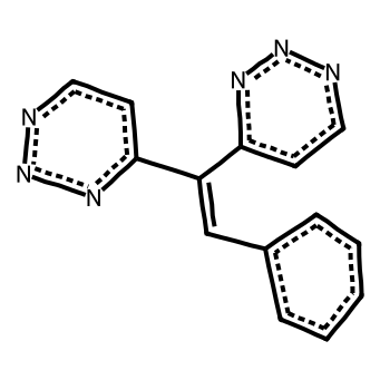 C(=C(c1ccnnn1)c1ccnnn1)c1ccccc1